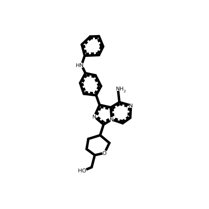 Nc1nccn2c(C3CCC(CO)OC3)nc(-c3ccc(Nc4ccccc4)cc3)c12